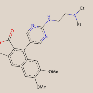 CCN(CC)CCNc1ncc(-c2c3c(cc4cc(OC)c(OC)cc24)COC3=O)cn1